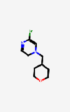 BrC1=CN(CC2CCOCC2)CC=N1